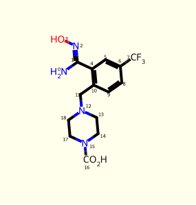 N/C(=N\O)c1cc(C(F)(F)F)ccc1CN1CCN(C(=O)O)CC1